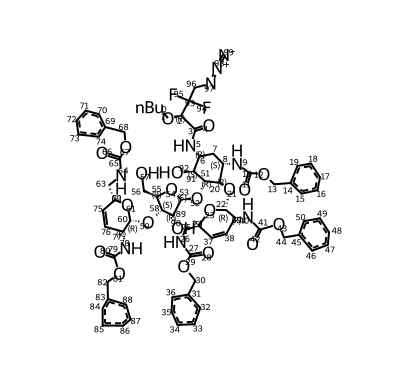 CCCCO[C@H](C(=O)N[C@@H]1C[C@H](NC(=O)OCc2ccccc2)[C@@H](O[C@H]2O[C@H](CNC(=O)OCc3ccccc3)C=C[C@H]2NC(=O)OCc2ccccc2)[C@H](O[C@@H]2O[C@H](CO)[C@@H](O[C@H]3O[C@@H](CNC(=O)OCc4ccccc4)C=C[C@H]3NC(=O)OCc3ccccc3)[C@H]2O)[C@H]1O)C(F)(F)CN=[N+]=[N-]